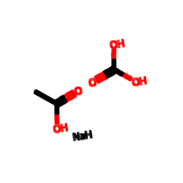 CC(=O)O.O=C(O)O.[NaH]